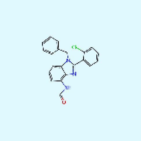 O=CNc1cccc2c1nc(-c1ccccc1Cl)n2Cc1ccccc1